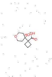 O=C(O)C1(C2(O)CCOCC2)CCC1